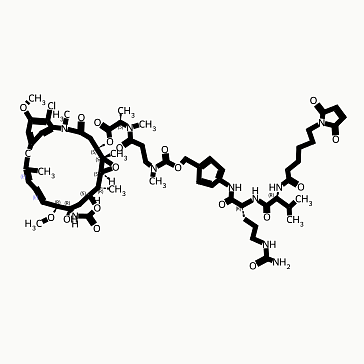 COc1cc2cc(c1Cl)N(C)C(=O)C[C@H](OC(=O)[C@H](C)N(C)C(=O)CCN(C)C(=O)OCc1ccc(NC(=O)[C@@H](CCCNC(N)=O)NC(=O)[C@H](NC(=O)CCCCCN3C(=O)C=CC3=O)C(C)C)cc1)[C@]1(C)O[C@H]1[C@H](C)[C@@H]1C[C@](O)(NC(=O)O1)[C@H](OC)/C=C/C=C(\C)C2